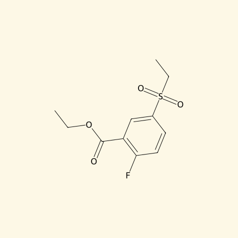 CCOC(=O)c1cc(S(=O)(=O)CC)ccc1F